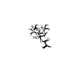 C=C(C)C(=O)OC(O)(CC)[Si](O[Si](C)(C)C)(O[Si](C)(C)C)O[Si](C)(C)C